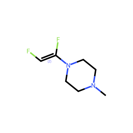 CN1CCN(/C(F)=C/F)CC1